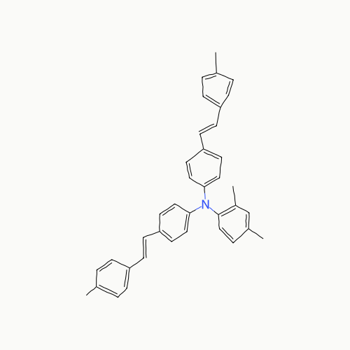 Cc1ccc(/C=C/c2ccc(N(c3ccc(/C=C/c4ccc(C)cc4)cc3)c3ccc(C)cc3C)cc2)cc1